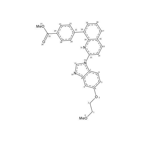 COCCOc1ccc2c(c1)ncn2-c1ccc2cccc(-c3ccc(C(=O)OC)cc3)c2n1